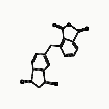 O=C1CC(=O)c2cc(Cc3cccc4c3C(=O)OC4=O)ccc21